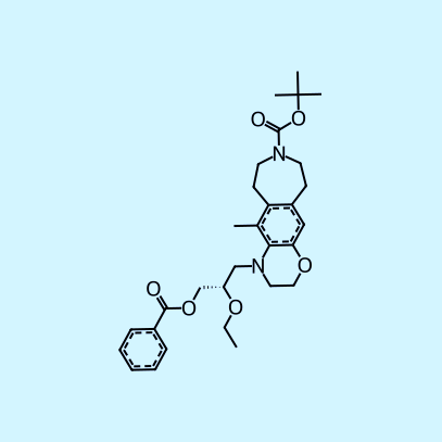 CCO[C@H](COC(=O)c1ccccc1)CN1CCOc2cc3c(c(C)c21)CCN(C(=O)OC(C)(C)C)CC3